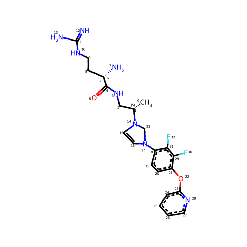 C[C@@H](CNC(=O)[C@@H](N)CCNC(=N)N)N1C=CN(c2ccc(Oc3ccccn3)c(F)c2F)C1